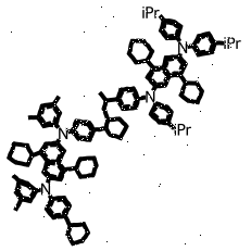 Cc1cc(C)cc(N(c2ccc(C3CCCCC3)cc2)c2cc(C3CCCCC3)c3cc(N(c4ccc(C5CCCCC5CC(C)c5ccc(N(c6ccc(C(C)C)cc6)c6cc(C7CCCCC7)c7cc(N(c8ccc(C(C)C)cc8)c8ccc(C(C)C)cc8)cc(C8CCCCC8)c7c6)cc5)cc4)c4cc(C)cc(C)c4)cc(C4CCCCC4)c3c2)c1